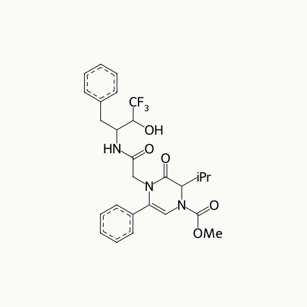 COC(=O)N1C=C(c2ccccc2)N(CC(=O)NC(Cc2ccccc2)C(O)C(F)(F)F)C(=O)C1C(C)C